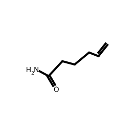 C=CCCCC(N)=O